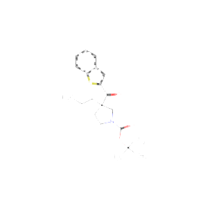 CCCC1(C(=O)c2cc3ccccc3s2)CCN(C(=O)OC(C)(C)C)C1